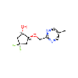 Cc1cnc(CO[C@H]2CC(F)(F)C[C@@H]2O)nc1